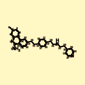 Cc1ccc2c(c1)nc(N)c1ncc(CCc3ccc(CCNCCc4ccncc4)cc3)cc12